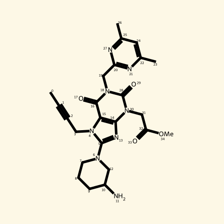 CC#CCn1c(N2CCCC(N)C2)nc2c1c(=O)n(Cc1nc(C)cc(C)n1)c(=O)n2CC(=O)OC